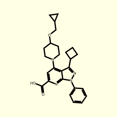 O=C(O)c1cc(N2CCC(OCC3CC3)CC2)c2c(C3CCC3)nn(-c3ccccc3)c2n1